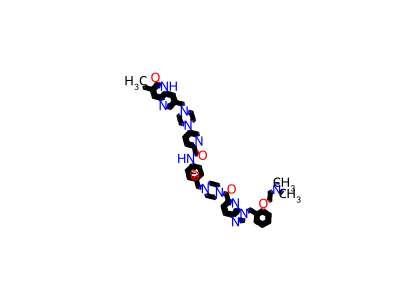 CCc1cc2ncc(CN3CCN(c4ccc(C(=O)NC56CCC(CN7CCN(C(=O)c8ccc9ncn(Cc%10ccccc%10OCCN(C)C)c9n8)CC7)(CC5)OC6)nc4)CC3)cc2[nH]c1=O